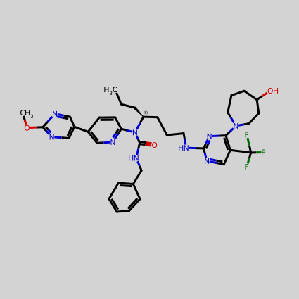 CCC[C@@H](CCCNc1ncc(C(F)(F)F)c(N2CCCC(O)CC2)n1)N(C(=O)NCc1ccccc1)c1ccc(-c2cnc(OC)nc2)cn1